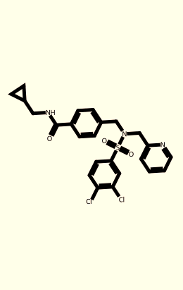 O=C(NCC1CC1)c1ccc(CN(Cc2ccccn2)S(=O)(=O)c2ccc(Cl)c(Cl)c2)cc1